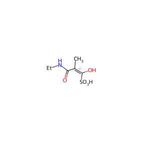 CCNC(=O)/C(C)=C(/O)S(=O)(=O)O